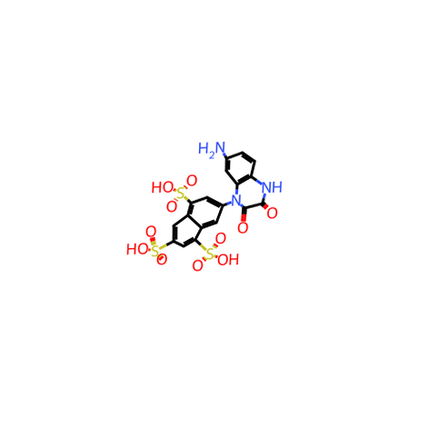 Nc1ccc2[nH]c(=O)c(=O)n(-c3cc(S(=O)(=O)O)c4cc(S(=O)(=O)O)cc(S(=O)(=O)O)c4c3)c2c1